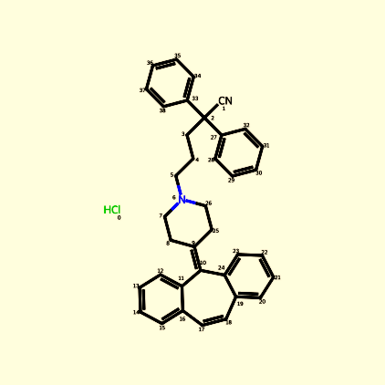 Cl.N#CC(CCCN1CCC(=C2c3ccccc3C=Cc3ccccc32)CC1)(c1ccccc1)c1ccccc1